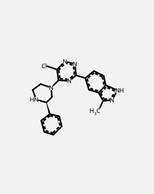 Cc1n[nH]c2ccc(-c3nnc(Cl)c(N4CCN[C@H](c5ccccc5)C4)n3)cc12